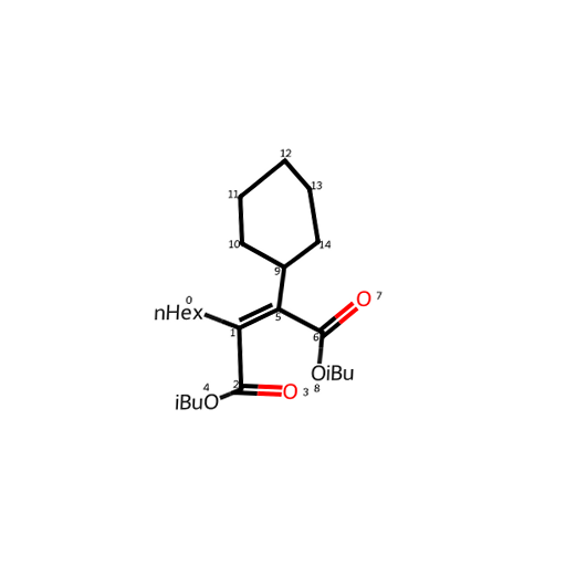 CCCCCC/C(C(=O)OCC(C)C)=C(/C(=O)OCC(C)C)C1CCCCC1